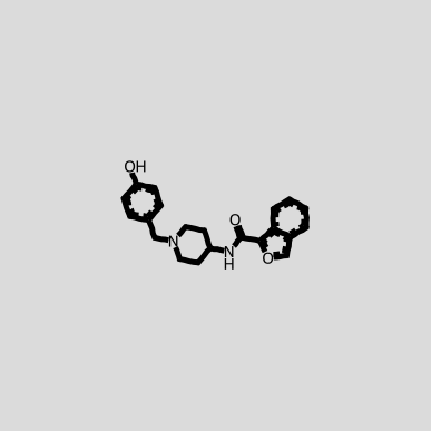 O=C(NC1CCN(Cc2ccc(O)cc2)CC1)c1occ2ccccc12